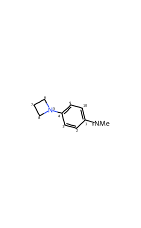 CNc1ccc(N2CCC2)cc1